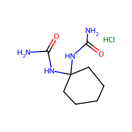 Cl.NC(=O)NC1(NC(N)=O)CCCCC1